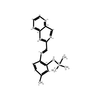 Cc1ccc(N=Cc2ncc3nccnc3n2)c(O[Si](C)(C)C)c1